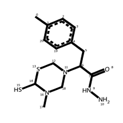 Cc1ccc(CC(C(=O)NN)N2CSC(S)N(C)C2)cc1